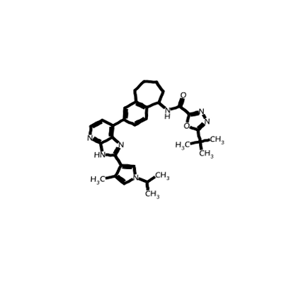 Cc1cn(C(C)C)cc1-c1nc2c(-c3ccc4c(c3)CCCCC4NC(=O)c3nnc(C(C)(C)C)o3)ccnc2[nH]1